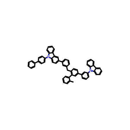 Cc1ccccc1-c1cc(-c2cccc(-n3c4ccccc4c4ccccc43)c2)ccc1Cc1cccc(-c2ccc3c(c2)c2ccccc2n3-c2ccc(-c3ccccc3)cc2)c1